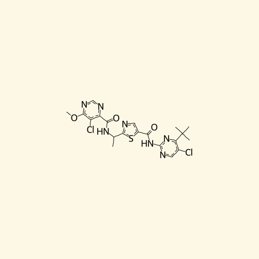 COc1ncnc(C(=O)NC(C)c2ncc(C(=O)Nc3ncc(Cl)c(C(C)(C)C)n3)s2)c1Cl